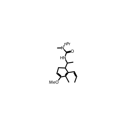 C/C=C\C1=C(C)C(OC)=CCC1C(C)NC(=O)N(C)CCC